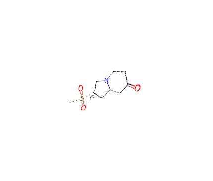 CS(=O)(=O)[C@H]1CC2CC(=O)CCN2C1